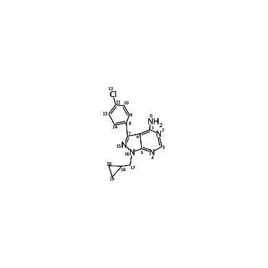 Nc1ncnc2c1c(-c1ccc(Cl)cc1)nn2CC1CC1